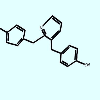 N#Cc1ccc(Cc2cccnc2Cc2ccc(C#N)cc2)cc1